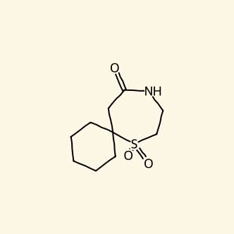 O=C1CC2(CCCCC2)S(=O)(=O)CCN1